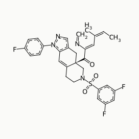 C=N/C(=C\C(C)=C/C)C(=O)[C@]12Cc3cnn(-c4ccc(F)cc4)c3C=C1CCN(S(=O)(=O)c1cc(F)cc(F)c1)C2